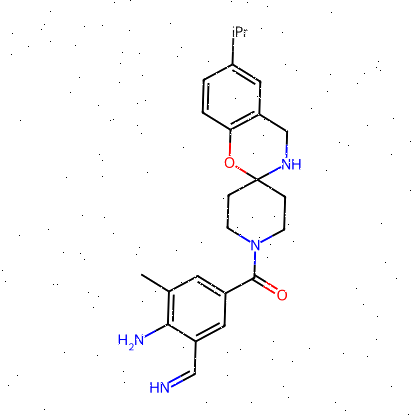 Cc1cc(C(=O)N2CCC3(CC2)NCc2cc(C(C)C)ccc2O3)cc(C=N)c1N